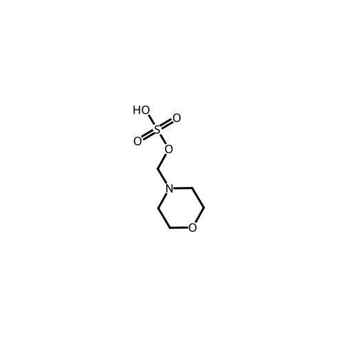 O=S(=O)(O)OCN1CCOCC1